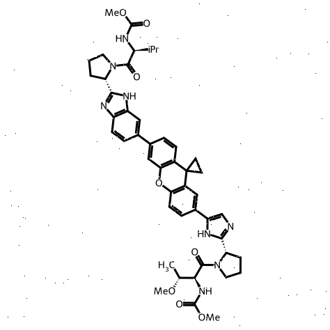 COC(=O)N[C@H](C(=O)N1CCC[C@H]1c1nc2ccc(-c3ccc4c(c3)Oc3ccc(-c5cnc([C@@H]6CCCN6C(=O)[C@@H](NC(=O)OC)[C@@H](C)OC)[nH]5)cc3C43CC3)cc2[nH]1)C(C)C